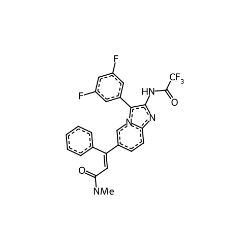 CNC(=O)/C=C(\c1ccccc1)c1ccc2nc(NC(=O)C(F)(F)F)c(-c3cc(F)cc(F)c3)n2c1